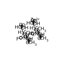 CC(C)c1nc(NCS(C)(=O)=O)nc(-c2ccc(F)cc2)c1C=CCCCC(O)(O)C(=O)[O-].CC(C)c1nc(NCS(C)(=O)=O)nc(-c2ccc(F)cc2)c1C=CCCCC(O)(O)C(=O)[O-].[Zn+2]